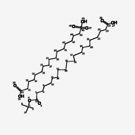 CC(C)(C)OC(=O)CCCCCCCCCCCCCCCCCCC(=O)O.O=C(O)CCCCCCCCCCCCCCCS(=O)(=O)O